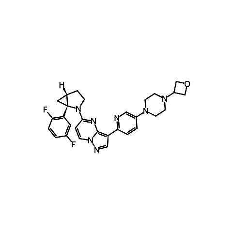 Fc1ccc(F)c([C@@]23C[C@@H]2CCN3c2ccn3ncc(-c4ccc(N5CCN(C6COC6)CC5)cn4)c3n2)c1